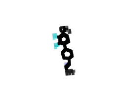 CCC/C=C/C1CCC(c2ccc(C)c(F)c2F)CC1